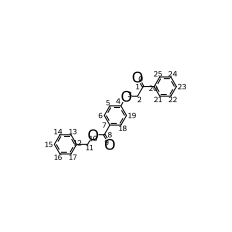 O=C(COc1ccc(C(=O)OCc2ccccc2)cc1)c1ccccc1